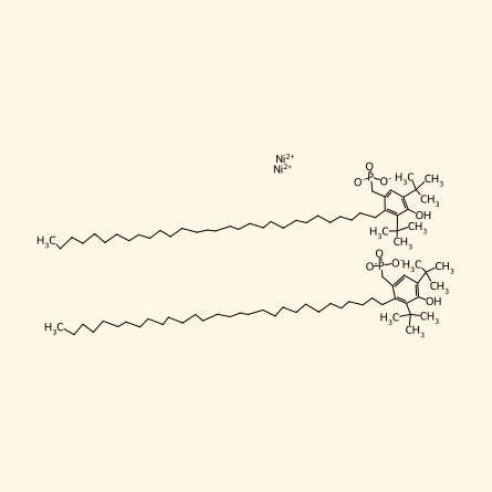 CCCCCCCCCCCCCCCCCCCCCCCCCCCCCCc1c(CP(=O)([O-])[O-])cc(C(C)(C)C)c(O)c1C(C)(C)C.CCCCCCCCCCCCCCCCCCCCCCCCCCCCCCc1c(CP(=O)([O-])[O-])cc(C(C)(C)C)c(O)c1C(C)(C)C.[Ni+2].[Ni+2]